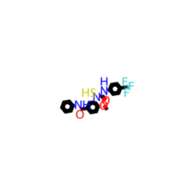 COc1ccc(C(=O)Nc2ccccc2)cc1N(S)C(=O)Nc1ccc(C(F)(F)F)cc1